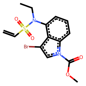 C=CS(=O)(=O)N(CC)c1cccc2c1c(Br)cn2C(=O)OC